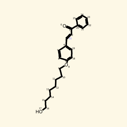 O=C(/C=C/c1ccc(OCCCCCCCCO)cc1)c1ccccc1